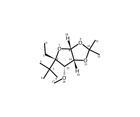 CC[C@@]1(C(C)(C)C)O[C@@H]2OC(C)(C)O[C@@H]2[C@@H]1OC